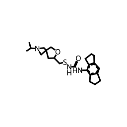 CC(C)N1CC2(COC(CSNC(=O)Nc3c4c(cc5c3CCC5)CCC4)C2)C1